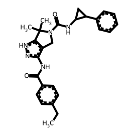 CCc1ccc(C(=O)Nc2n[nH]c3c2CN(C(=O)NC2CC2c2ccccc2)C3(C)C)cc1